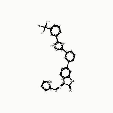 O=C1Nc2cc(-c3cccc(-c4n[nH]c(-c5cccc(C(F)(F)F)c5)n4)c3)ccc2C1=C=Cc1ccc[nH]1